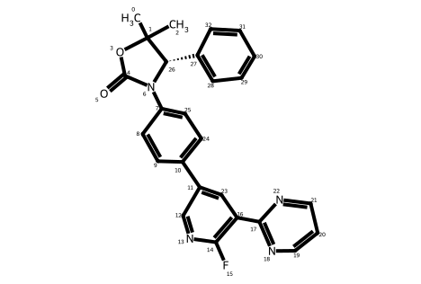 CC1(C)OC(=O)N(c2ccc(-c3cnc(F)c(-c4ncccn4)c3)cc2)[C@H]1c1ccccc1